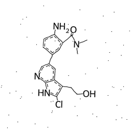 CN(C)C(=O)c1cc(-c2cnc3[nH]c(Cl)c(CCO)c3c2)ccc1N